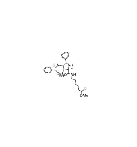 CC[C@H](C)C(OCc1ccccc1)C1C([N+](=O)[O-])C(c2ccccc2)NC1(C)C(=O)NCCCCCC(=O)OC